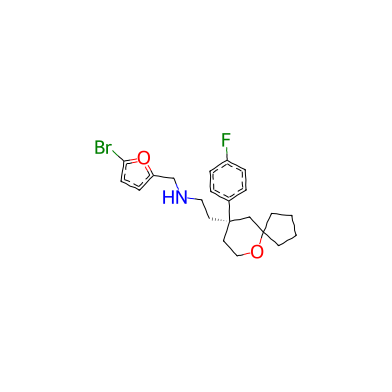 Fc1ccc([C@]2(CCNCc3ccc(Br)o3)CCOC3(CCCC3)C2)cc1